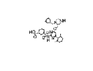 Cc1cccc(C)c1-c1cc(OCC2CNCCN2Cc2ccccc2)nc(NS(=O)(=O)c2cccc(C(=O)O)c2)n1